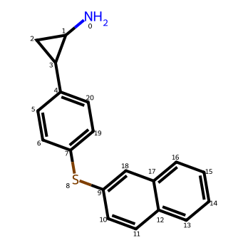 NC1CC1c1ccc(Sc2ccc3ccccc3c2)cc1